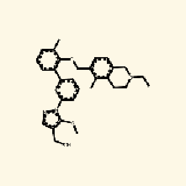 CCN1CCc2c(ccc(COc3c(C)cccc3-c3cccc(-n4ncc(CO)c4OC)n3)c2C)C1